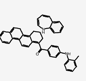 C1=CNc2ccccc2C=C1.Cc1ccccc1Nc1ccc(C(=O)C2=c3ccc4c(c3CCC2)CC=c2ccccc2=4)cc1